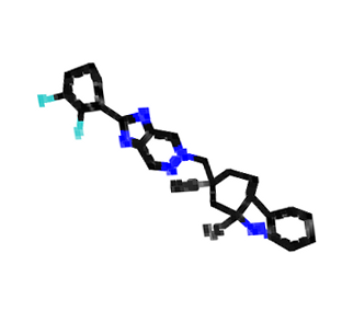 COC1(Cn2cc3nc(-c4cccc(F)c4F)nc-3cn2)CC=C(c2ccccc2)C(N)(C(F)(F)F)C1